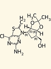 C=C1Sc2c(Cl)nc(N)nc2N1[C@@H]1C[C@H](CO)[C@H]2OC(C)(C)O[C@H]21